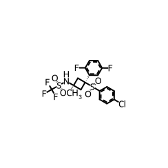 C[C@]1(NS(=O)(=O)C(F)(F)F)C[C@@](c2cc(F)ccc2F)(S(=O)(=O)c2ccc(Cl)cc2)C1